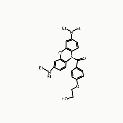 CCN(CC)c1ccc2c(c1)Oc1cc(N(CC)CC)ccc1N2C(=O)c1ccc(OCCO)cc1